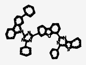 c1ccc(-c2ccc3c4ccccc4n(-c4nc(-c5ccccc5)nc(-c5ccc6c(c5)oc5c(-c7nc(-c8ccccc8)c8sc9ccccc9c8n7)cccc56)n4)c3c2)cc1